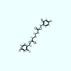 Cc1ccc(COC(=O)CCCCC(=O)OCc2ccc(C)cc2C)c(C)c1